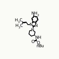 CCCCOC(=O)N[C@@H]1CCCN(c2nc3ccc(N)cc3n2CC=C(C)C)C1